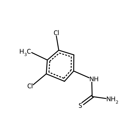 Cc1c(Cl)cc(NC(N)=S)cc1Cl